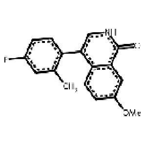 COc1ccc2c(-c3ccc(F)cc3C)c[nH]c(=O)c2c1